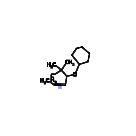 C/C=C\C(OC1CCCCC1)C(C)(C)C